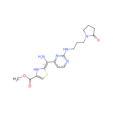 COC(=O)C1=CS/C(=C(/N)c2ccnc(NCCCN3CCCC3=O)n2)N1